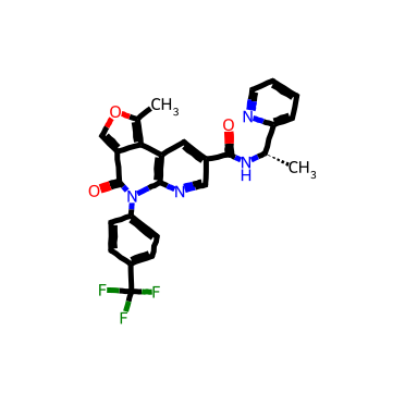 Cc1occ2c(=O)n(-c3ccc(C(F)(F)F)cc3)c3ncc(C(=O)N[C@@H](C)c4ccccn4)cc3c12